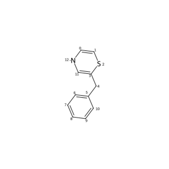 C1=CSC(Cc2ccccc2)=C[N]1